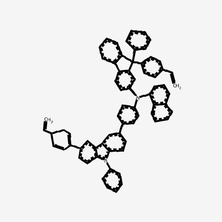 C=Cc1ccc(C2(c3ccccc3)c3ccccc3-c3ccc(N(c4ccc(-c5ccc6c(c5)c5cc(C7=CCC(C=C)C=C7)ccc5n6-c5ccccc5)cc4)c4cccc5ccccc45)cc32)cc1